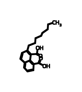 CCCCCCCCc1ccc2cccc(C(=O)O)c2c1C(=O)O